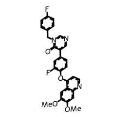 COc1cc2nccc(Oc3ccc(-c4cncn(Cc5ccc(F)cc5)c4=O)cc3F)c2cc1OC